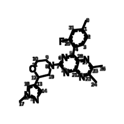 Cc1ccc(-c2nc(N3CCOC(c4cnn(C)c4)C3)nc3nc(C)c(C)nc23)c(F)c1